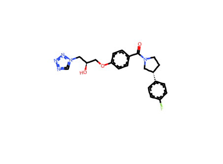 O=C(c1ccc(OC[C@@H](O)Cn2cnnn2)cc1)N1CC[C@H](c2ccc(F)cc2)C1